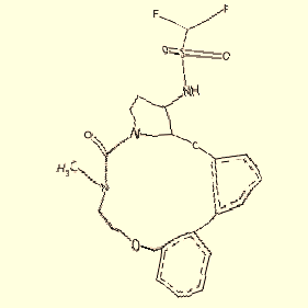 CN1CCOc2ccccc2-c2cccc(c2)CC2C(NS(=O)(=O)C(F)F)CCN2C1=O